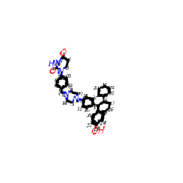 O=C1CCN(c2ccc(CN3CCN(c4ccc([C@@H]5c6ccc(O)cc6CC[C@@H]5c5ccccc5)cc4)CC3)cc2)C(=O)N1